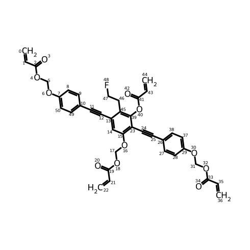 C=CC(=O)OCOc1ccc(C#Cc2cc(OCOC(=O)C=C)c(C#Cc3ccc(OCOC(=O)C=C)cc3)c(OC(=O)C=C)c2CCF)cc1